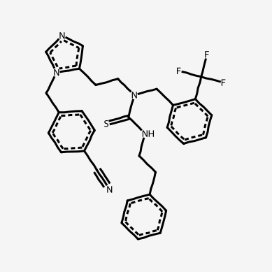 N#Cc1ccc(Cn2cncc2CCN(Cc2ccccc2C(F)(F)F)C(=S)NCCc2ccccc2)cc1